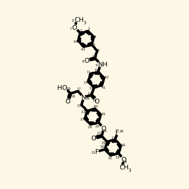 COc1ccc(CC(=O)Nc2ccc(C(=O)N(CC(=O)O)Cc3ccc(OC(=O)c4c(F)cc(OC)cc4F)cc3)cc2)cc1